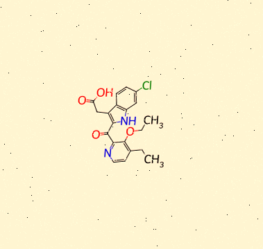 CCOc1c(CC)ccnc1C(=O)c1[nH]c2cc(Cl)ccc2c1CC(=O)O